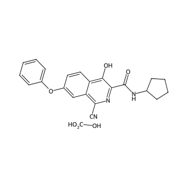 N#Cc1nc(C(=O)NC2CCCC2)c(O)c2ccc(Oc3ccccc3)cc12.O=C(O)O